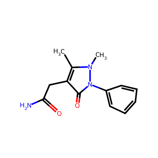 Cc1c(CC(N)=O)c(=O)n(-c2ccccc2)n1C